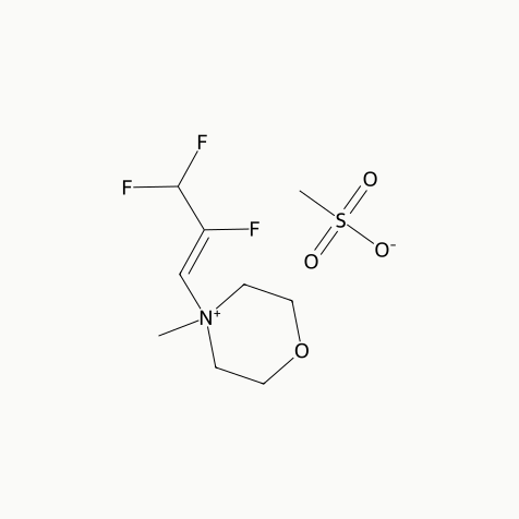 CS(=O)(=O)[O-].C[N+]1(C=C(F)C(F)F)CCOCC1